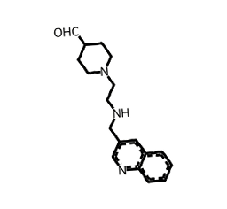 O=CC1CCN(CCNCc2cnc3ccccc3c2)CC1